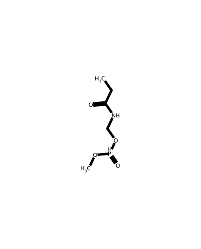 CCC(=O)NCO[PH](=O)OC